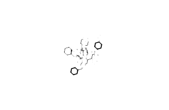 O=C(Nc1ccc(Cl)cc1)C(=O)C(COCc1ccccc1)NC(=O)[C@@H](CC1CCCCC1)NC(=O)N1CCOCC1